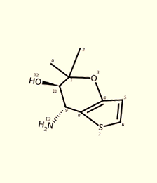 CC1(C)Oc2ccsc2[C@H](N)[C@H]1O